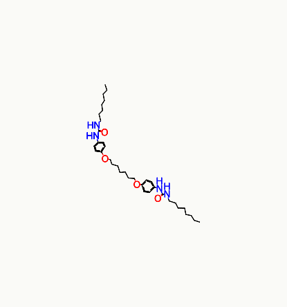 CCCCCCCCNC(=O)Nc1ccc(OCCCCCCCOc2ccc(NC(=O)NCCCCCCCC)cc2)cc1